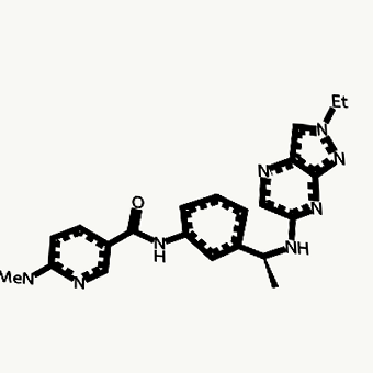 CCn1cc2ncc(N[C@@H](C)c3cccc(NC(=O)c4ccc(NC)nc4)c3)nc2n1